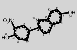 O=[N+]([O-])c1cc(-c2ccc3cc(O)ccc3n2)ccc1O